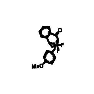 COc1ccc(CN2C3CC(F)(F)C2C(=O)c2ccccc23)cc1